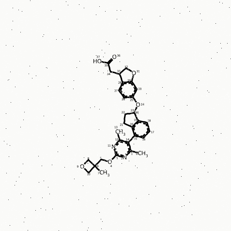 Cc1nc(OCC2(C)COC2)nc(C)c1-c1cccc2c1CC[C@H]2Oc1ccc2c(c1)OCC2CC(=O)O